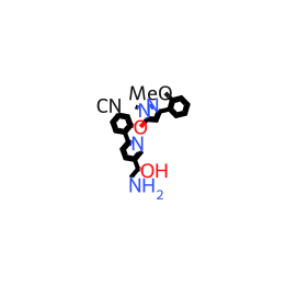 COc1ccccc1-c1cc(Oc2cc(C#N)ccc2-c2ccc(C(O)CN)cn2)n(C)n1